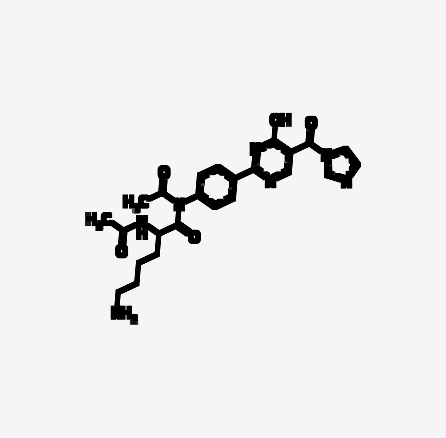 CC(=O)NC(CCCCN)C(=O)N(C(C)=O)c1ccc(-c2ncc(C(=O)n3ccnc3)c(O)n2)cc1